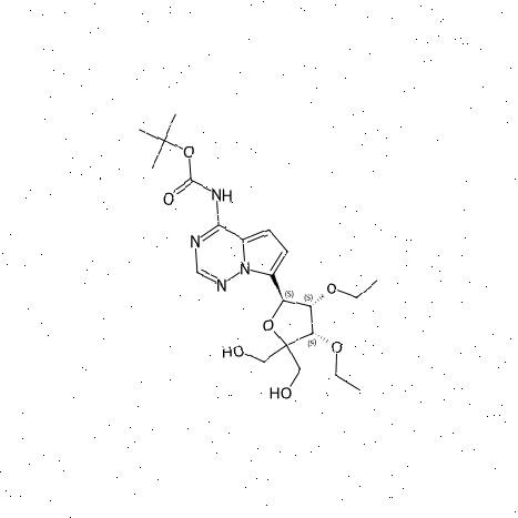 CCO[C@H]1[C@H](c2ccc3c(NC(=O)OC(C)(C)C)ncnn23)OC(CO)(CO)[C@H]1OCC